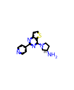 N[C@@H]1CCN(c2nc(-c3ccncc3)nc3ccsc23)C1